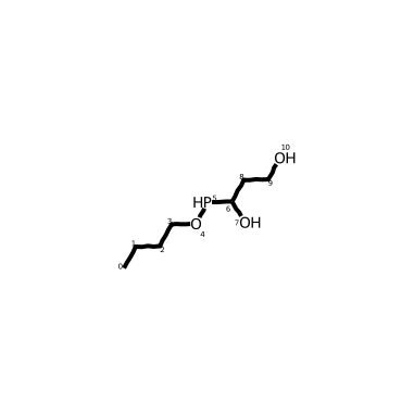 CCCCOPC(O)CCO